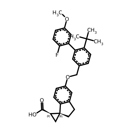 COc1ccc(F)c(-c2cc(COc3ccc4c(c3)CC[C@]43C[C@H]3C(=O)O)ccc2C(C)(C)C)c1